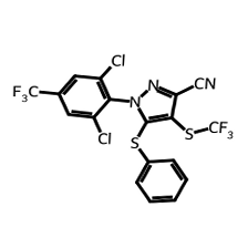 N#Cc1nn(-c2c(Cl)cc(C(F)(F)F)cc2Cl)c(Sc2ccccc2)c1SC(F)(F)F